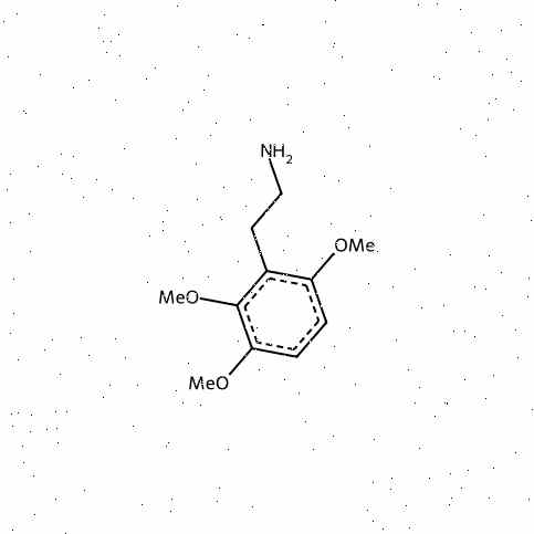 COc1ccc(OC)c(OC)c1CCN